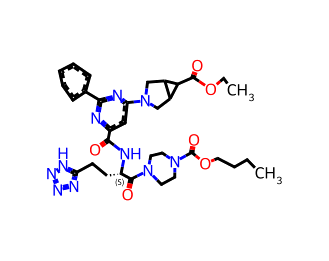 CCCCOC(=O)N1CCN(C(=O)[C@H](CCc2nnn[nH]2)NC(=O)c2cc(N3CC4C(C3)C4C(=O)OCC)nc(-c3ccccc3)n2)CC1